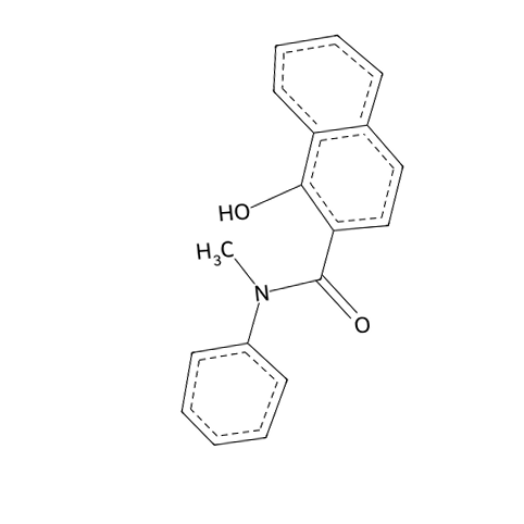 CN(C(=O)c1ccc2ccccc2c1O)c1ccccc1